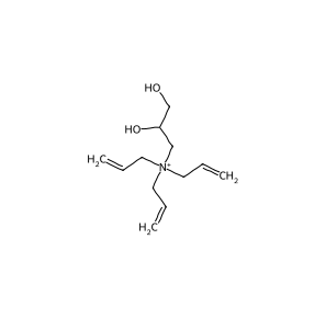 C=CC[N+](CC=C)(CC=C)CC(O)CO